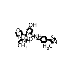 CCC(=N)N1CCOC[C@H]1C(=O)N1C[C@H](O)C[C@H]1C(=O)NCC1C=CC(c2scnc2C)=CC1